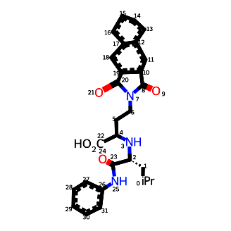 CC(C)C[C@@H](NC(CCN1C(=O)c2cc3ccccc3cc2C1=O)C(=O)O)C(=O)Nc1ccccc1